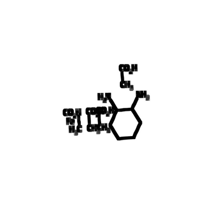 CC(=O)O.CC(=O)O.CC(=O)O.CC(=O)O.NC1CCCCC1N.[Fe]